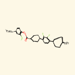 CCCCc1ccc(OC(=O)C2CCC(c3ccc(C4CCC(CCC)CC4)c(F)c3F)CC2)c(F)c1